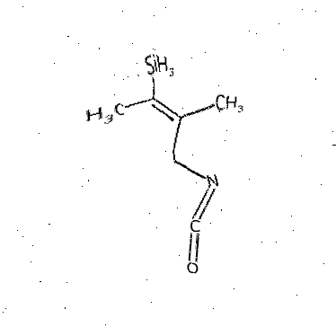 CC([SiH3])=C(C)CN=C=O